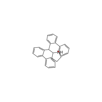 c1ccc(-c2ccccc2C(c2ccccc2-c2ccccc2)C2CCCN2)cc1